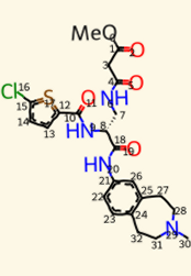 COC(=O)CC(=O)NC[C@@H](NC(=O)c1ccc(Cl)s1)C(=O)Nc1ccc2c(c1)CCN(C)CC2